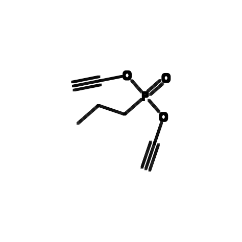 C#COP(=O)(CCC)OC#C